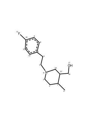 CC1CCN(CCc2ccc(F)cc2)CC1CO